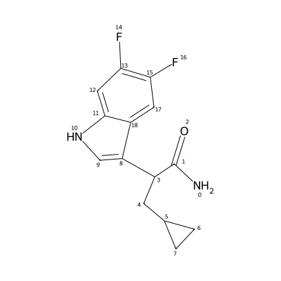 NC(=O)C(CC1CC1)c1c[nH]c2cc(F)c(F)cc12